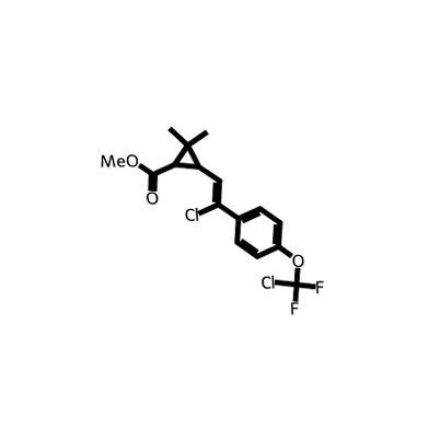 COC(=O)C1C(C=C(Cl)c2ccc(OC(F)(F)Cl)cc2)C1(C)C